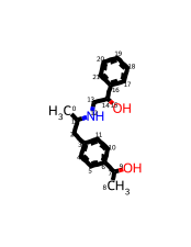 CC(Cc1ccc(C(C)O)cc1)NCC(O)c1ccccc1